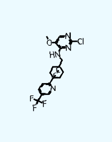 COc1cnc(Cl)nc1NCC12CCC(c3ccc(C(F)(F)F)cn3)(CC1)CC2